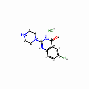 Cl.O=c1[nH]c(N2CCNCC2)nc2ccc(Cl)cc12